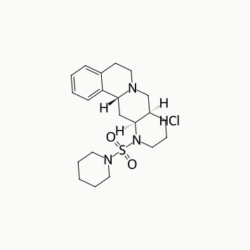 Cl.O=S(=O)(N1CCCCC1)N1CCC[C@@H]2CN3CCc4ccccc4[C@H]3C[C@@H]21